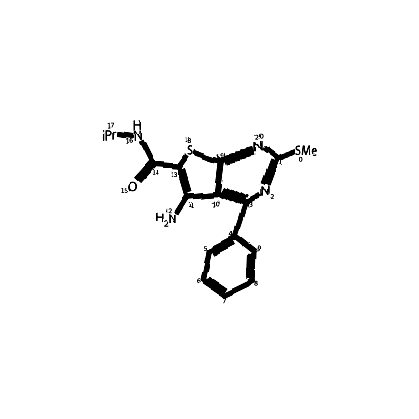 CSc1nc(-c2ccccc2)c2c(N)c(C(=O)NC(C)C)sc2n1